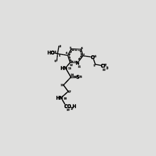 CC(C)(O)c1ccc(OCC(F)(F)F)nc1NC(=S)CCNC(=O)O